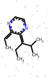 C/C=c1/nccn/c1=C(/CC)C(C)C